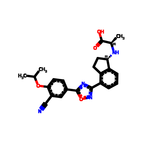 CC(C)Oc1ccc(-c2nc(-c3cccc4c3CC[C@@H]4N[C@H](C)C(=O)O)no2)cc1C#N